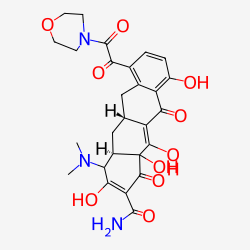 CN(C)C1C(O)=C(C(N)=O)C(=O)C2(O)C(O)=C3C(=O)c4c(O)ccc(C(=O)C(=O)N5CCOCC5)c4C[C@H]3C[C@H]12